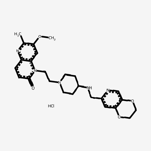 COc1cc2c(ccc(=O)n2CCN2CCC(NCc3cc4c(cn3)OCCO4)CC2)nc1C.Cl